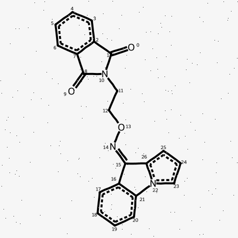 O=C1c2ccccc2C(=O)N1CCO/N=C1/c2ccccc2-n2cccc21